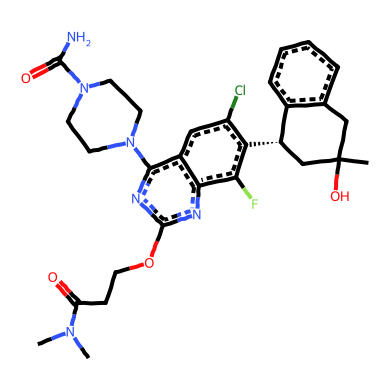 CN(C)C(=O)CCOc1nc(N2CCN(C(N)=O)CC2)c2cc(Cl)c([C@H]3CC(C)(O)Cc4ccccc43)c(F)c2n1